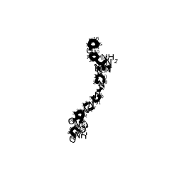 Nc1ncnc2c1c(-c1ccc(Oc3ccccc3)cc1)nn2C1CCN(CCN2CCC(N3CCN(c4ccc5c(c4)C(=O)N(C4CCC(=O)NC4=O)C5=O)CC3)C2)CC1